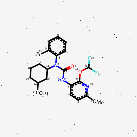 COc1ccc(NC(=O)N(c2ccccc2C(C)C)C2CCCC(C(=O)O)C2)c(OC(F)F)n1